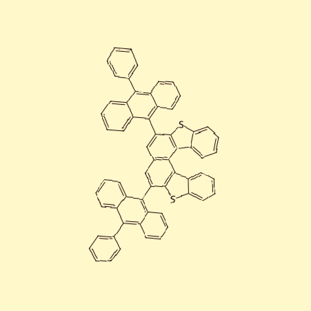 c1ccc(-c2c3ccccc3c(-c3cc4cc(-c5c6ccccc6c(-c6ccccc6)c6ccccc56)c5sc6ccccc6c5c4c4c3sc3ccccc34)c3ccccc23)cc1